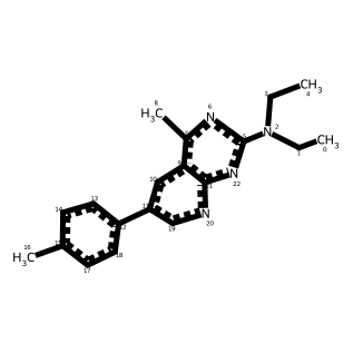 CCN(CC)c1nc(C)c2cc(-c3ccc(C)cc3)cnc2n1